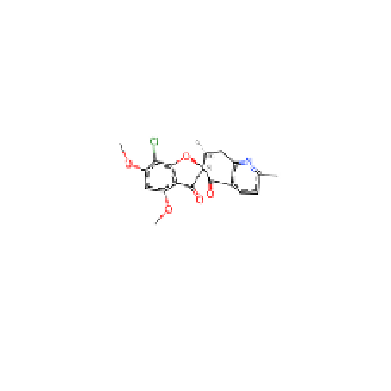 COc1cc(OC)c2c(c1Cl)O[C@@]1(C(=O)c3ccc(C)nc3C[C@H]1C)C2=O